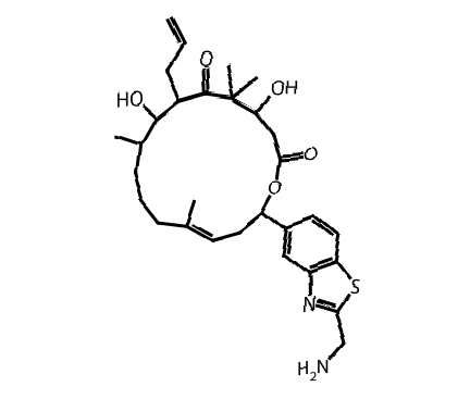 C=CCC1C(=O)C(C)(C)C(O)CC(=O)OC(c2ccc3sc(CN)nc3c2)C/C=C(\C)CCCC(C)C1O